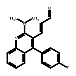 CN(C)c1nc2ccccc2c(-c2ccc(F)cc2)c1/C=C/C=O